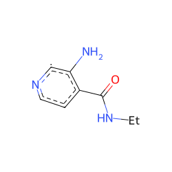 CCNC(=O)c1ccn[c]c1N